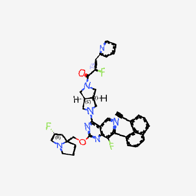 C#Cc1cccc2cccc(-c3ncc4c(N5C[C@H]6CN(C(=O)/C(F)=C/c7ccccn7)C[C@H]6C5)nc(OCC56CCCN5C[C@H](F)C6)nc4c3F)c12